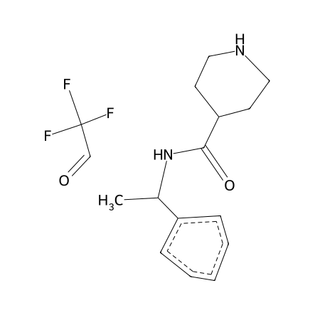 CC(NC(=O)C1CCNCC1)c1ccccc1.O=CC(F)(F)F